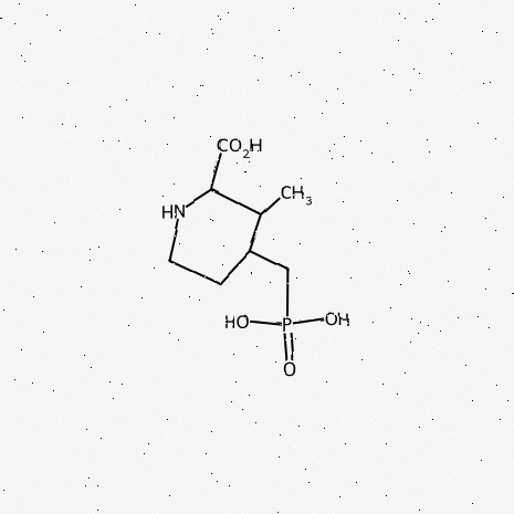 CC1C(CP(=O)(O)O)CCNC1C(=O)O